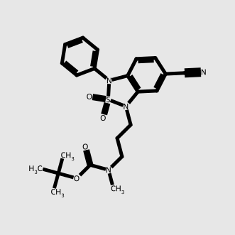 CN(CCCN1c2cc(C#N)ccc2N(c2ccccc2)S1(=O)=O)C(=O)OC(C)(C)C